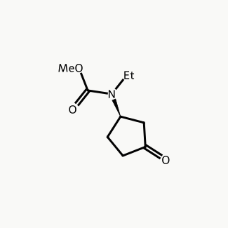 CCN(C(=O)OC)[C@@H]1CCC(=O)C1